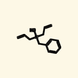 C=CC[Si](O)(CC=C)Cc1ccccc1